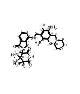 Bc1c(B)c(CNc2cccc3c2CN(C2(O)C(=O)NC(=O)C(B)(B)C2(B)B)C3=O)c(F)c(B)c1CN1CCOCC1